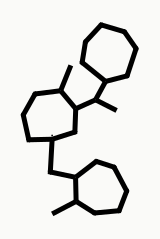 CC1CCCCCC1C[C]1CCCC(C)C(C(C)C2CCCCCC2)C1